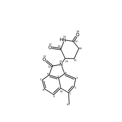 Cc1ccc2c3c(cccc13)C(=O)N2C1CCC(=O)NC1=O